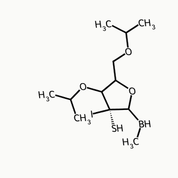 CBC1OC(COC(C)C)C(OC(C)C)[C@]1(S)I